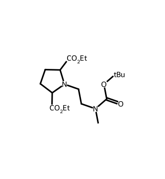 CCOC(=O)C1CCC(C(=O)OCC)N1CCN(C)C(=O)OC(C)(C)C